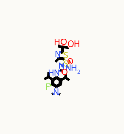 Cc1nc(C(C)(O)CO)sc1S(N)(=O)=NC(=O)Nc1c(C(C)C)cc(N(C)C)c(F)c1C(C)C